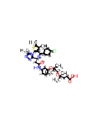 Cc1sc2c(c1C)C(c1ccc(Cl)cc1)=N[C@@H](CC(=O)Nc1cccc(OC(C)(C)COC(C)(C)CCC(=O)O)c1)c1nnc(C)n1-2